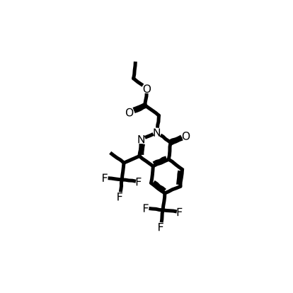 CCOC(=O)Cn1nc(C(C)C(F)(F)F)c2cc(C(F)(F)F)ccc2c1=O